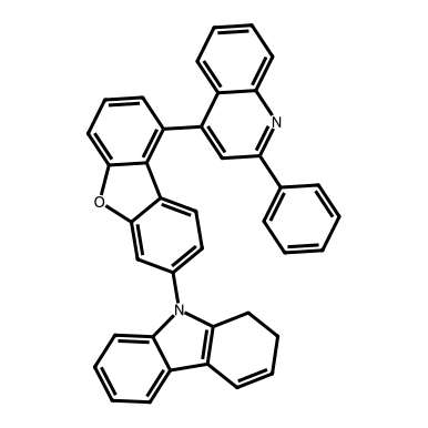 C1=Cc2c(n(-c3ccc4c(c3)oc3cccc(-c5cc(-c6ccccc6)nc6ccccc56)c34)c3ccccc23)CC1